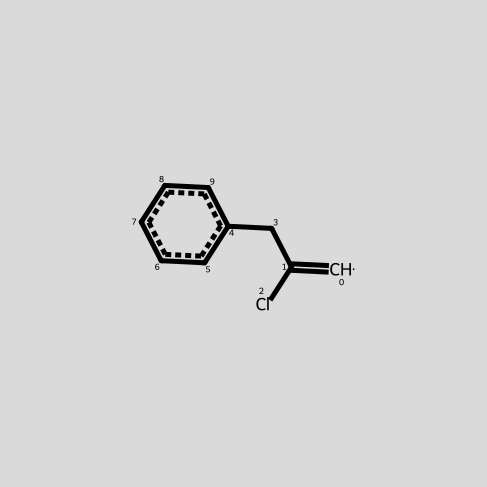 [CH]=C(Cl)Cc1ccccc1